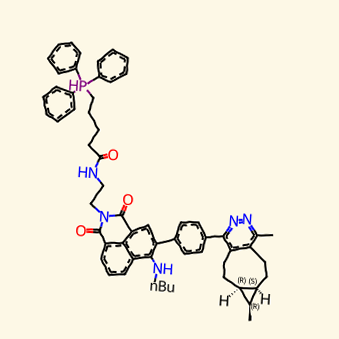 CCCCNc1c(-c2ccc(-c3nnc(C)c4c3CC[C@@H]3[C@H](C)[C@@H]3CC4)cc2)cc2c3c(cccc13)C(=O)N(CCNC(=O)CCCC[PH](c1ccccc1)(c1ccccc1)c1ccccc1)C2=O